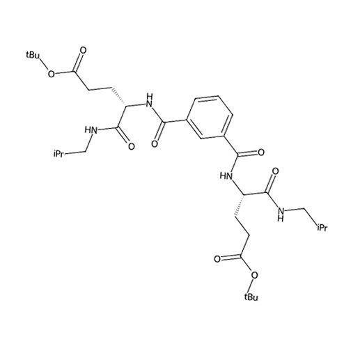 CC(C)CNC(=O)[C@H](CCC(=O)OC(C)(C)C)NC(=O)c1cccc(C(=O)N[C@@H](CCC(=O)OC(C)(C)C)C(=O)NCC(C)C)c1